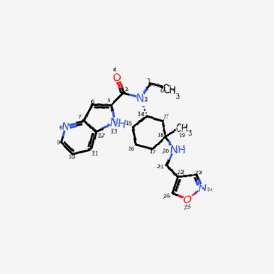 CCN(C(=O)c1cc2ncccc2[nH]1)[C@H]1CCCC(C)(NCc2cnoc2)C1